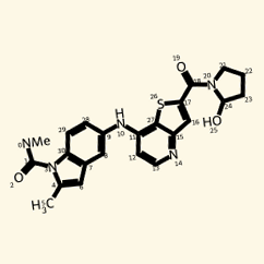 CNC(=O)n1c(C)cc2cc(Nc3ccnc4cc(C(=O)N5CCCC5O)sc34)ccc21